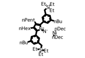 CCCCCCC1=C(c2cc(CCCC)cc(C[Si](CC)(CC)CC)c2)[N+](=[N-])C(c2cc(CCCC)cc(C[Si](CC)(CC)CC)c2)=C1CCCCC.CCCCCCCCC[CH2][Ni][CH2]CCCCCCCCC